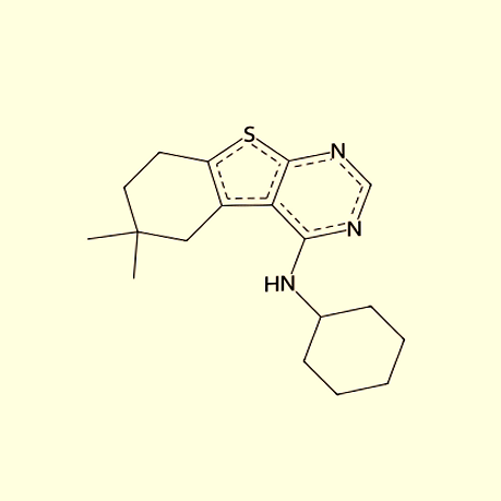 CC1(C)CCc2sc3ncnc(NC4CCCCC4)c3c2C1